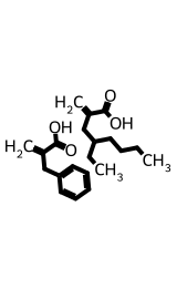 C=C(CC(CC)CCCC)C(=O)O.C=C(Cc1ccccc1)C(=O)O